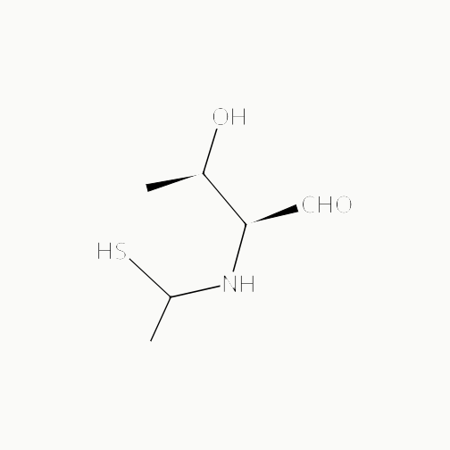 CC(S)N[C@H](C=O)[C@@H](C)O